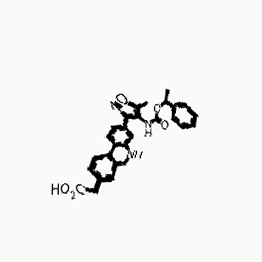 Cc1onc(-c2ccc3c(c2)NCc2cc(CC(=O)O)ccc2-3)c1NC(=O)OC(C)c1ccccc1